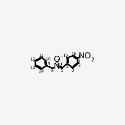 O=[N+]([O-])c1ccc(C=[N+]([O-])Cc2ccccc2)cc1